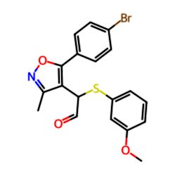 COc1cccc(SC(C=O)c2c(C)noc2-c2ccc(Br)cc2)c1